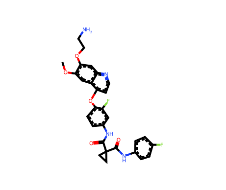 COc1cc2c(Oc3ccc(NC(=O)C4(C(=O)Nc5ccc(F)cc5)CC4)cc3F)ccnc2cc1OCCN